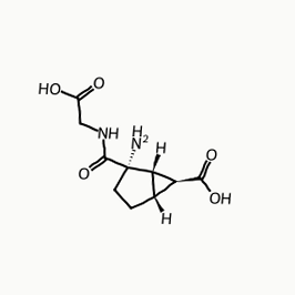 N[C@@]1(C(=O)NCC(=O)O)CC[C@H]2[C@H](C(=O)O)[C@H]21